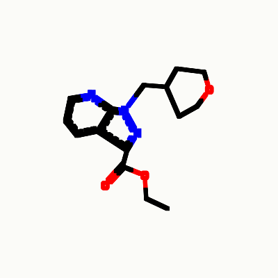 CCOC(=O)c1nn(CC2CCOCC2)c2ncccc12